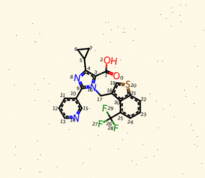 O=C(O)c1c(C2CC2)nc(-c2cccnc2)n1Cc1csc2cccc(C(F)(F)F)c12